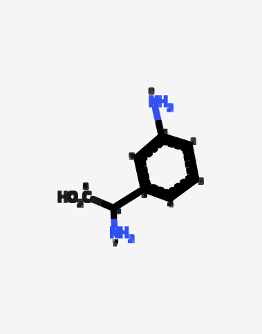 Nc1cccc(C(N)C(=O)O)c1